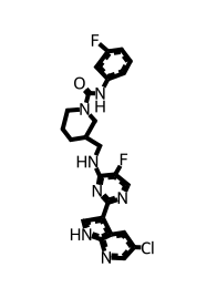 O=C(Nc1cccc(F)c1)N1CCCC(CNc2nc(-c3c[nH]c4ncc(Cl)cc34)ncc2F)C1